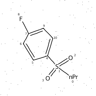 CCCS(=O)(=O)c1ccc(F)cc1